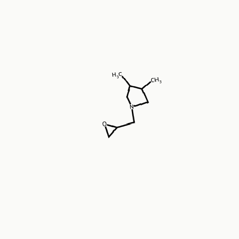 CC1CN(CC2CO2)CC1C